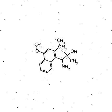 COc1cc(OC)c2ccccc2c1C(N)C(C)(C)O